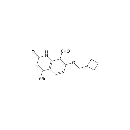 CCCCc1cc(=O)[nH]c2c(C=O)c(OCC3CCC3)ccc12